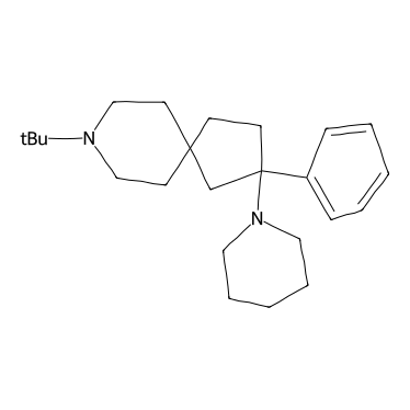 CC(C)(C)N1CCC2(CC1)CCC(c1ccccc1)(N1CCCCC1)C2